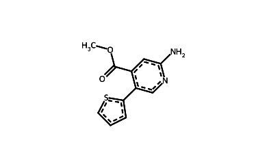 COC(=O)c1cc(N)ncc1-c1cccs1